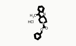 Cc1c2c(nc3ccccc13)CCN(C(=O)OCc1ccccc1)CC2.Cl